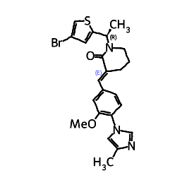 COc1cc(/C=C2\CCCN([C@H](C)c3cc(Br)cs3)C2=O)ccc1-n1cnc(C)c1